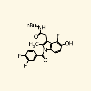 CCCCNC(=O)Cc1c(C)n(C(=O)c2ccc(F)c(F)c2)c2ccc(O)c(F)c12